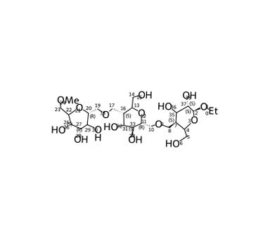 CCO[C@H]1OC(CO)[C@@H](COC[C@H]2OC(CO)[C@@H](COC[C@H]3OC(COC)[C@@H](O)[C@@H](O)C3O)C(O)[C@@H]2O)C(O)[C@@H]1O